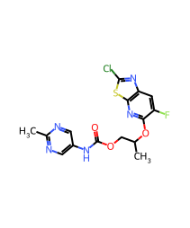 Cc1ncc(NC(=O)OCC(C)Oc2nc3sc(Cl)nc3cc2F)cn1